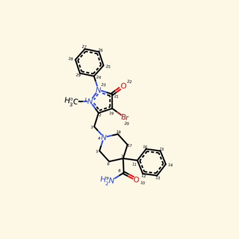 Cn1c(CN2CCC(C(N)=O)(c3ccccc3)CC2)c(Br)c(=O)n1-c1ccccc1